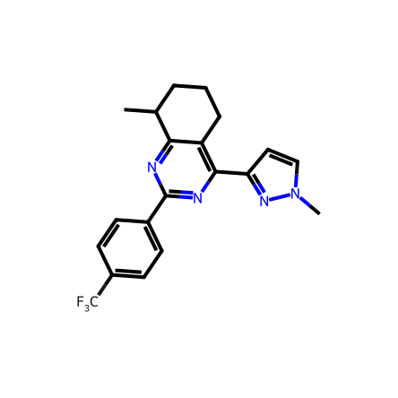 CC1CCCc2c(-c3ccn(C)n3)nc(-c3ccc(C(F)(F)F)cc3)nc21